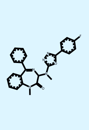 CN1C(=O)C(N(C)c2nnc(-c3ccc(F)cc3)o2)N=C(c2ccccc2)c2ccccc21